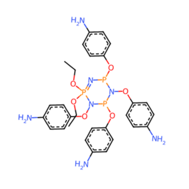 CCOP1(OCC)=NP(Oc2ccc(N)cc2)N(Oc2ccc(N)cc2)P(Oc2ccc(N)cc2)N1Oc1ccc(N)cc1